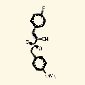 COc1ccc(CS(=O)(=O)/C(C#N)=C/c2ccc(F)cc2)cc1